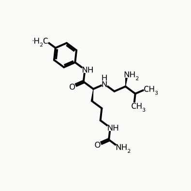 [CH2]c1ccc(NC(=O)[C@H](CCCNC(N)=O)NC[C@@H](N)C(C)C)cc1